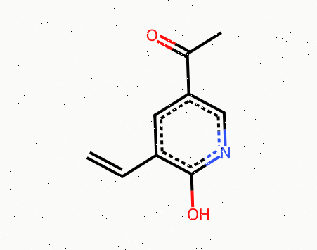 C=Cc1cc(C(C)=O)cnc1O